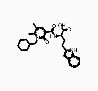 Cc1cc(C(=O)NC(CCc2cc3ccccc3[nH]2)C(=O)O)c(=O)n(CC2CCCCC2)c1C